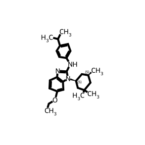 CCOc1ccc2nc(Nc3ccc(C(C)C)cc3)n([C@H]3C[C@@H](C)CC(C)(C)C3)c2c1